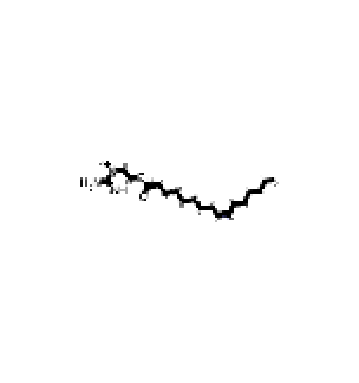 CCCCCC/C=C\CCCCCCCC(=O)OCCN(C)C(=N)N